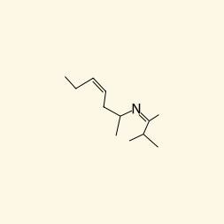 CC/C=C\CC(C)/N=C(/C)C(C)C